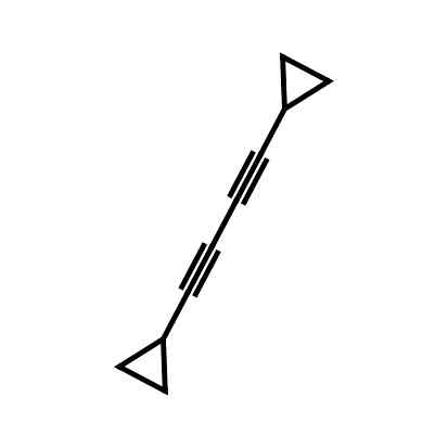 C(C#CC1CC1)#CC1CC1